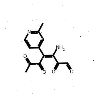 CC(=O)C(=O)/C(=C(/N)C(=O)C=O)c1ccnc(C)c1